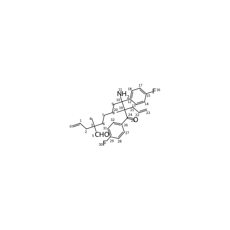 C=CCC(C)(C=O)CCCCC(N)(c1ccc(F)cc1)C(C)(CC=C)C(=O)c1ccc(F)cc1